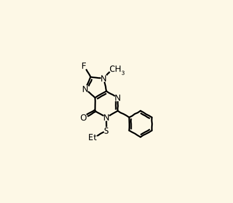 CCSn1c(-c2ccccc2)nc2c(nc(F)n2C)c1=O